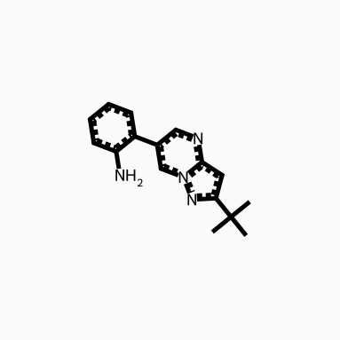 CC(C)(C)c1cc2ncc(-c3ccccc3N)cn2n1